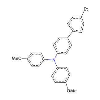 CCc1ccc(-c2ccc(N(c3ccc(OC)cc3)c3ccc(OC)cc3)cc2)cc1